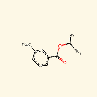 CC(C)C(OC(=O)c1cccc(C(=O)O)c1)[N+](=O)[O-]